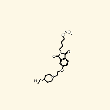 CC1CCN(CCOc2ccc3c(c2)C(=O)N(CCCCO[N+](=O)[O-])C3=O)CC1